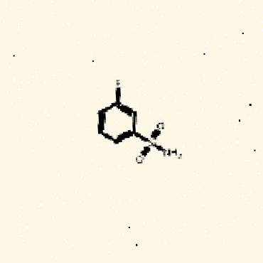 NS(=O)(=O)c1cc[c]c(F)c1